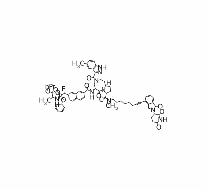 CCCOC(=O)[C@H](C)NP(=O)(Oc1ccccc1)C(F)c1ccc2ccc(C(=O)N[C@H]3CN(C(=O)c4n[nH]c5ccc(C)cc45)CC[C@H]4CC[C@@H](C(=O)N(C)CCCCCCC#Cc5cccc6c5CN(C5CCC(=O)NC5=O)C6=O)N4C3=O)cc2c1